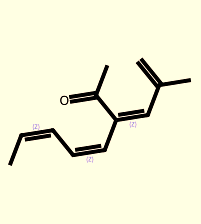 C=C(C)/C=C(/C=C\C=C/C)C(C)=O